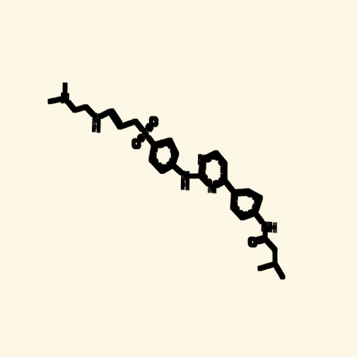 CC(C)CC(=O)Nc1ccc(-c2ccnc(Nc3ccc(S(=O)(=O)CC=CNCCN(C)C)cc3)n2)cc1